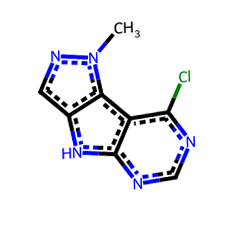 Cn1ncc2[nH]c3ncnc(Cl)c3c21